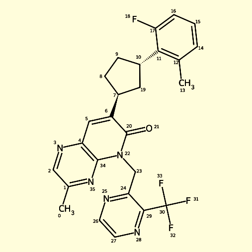 Cc1cnc2cc([C@H]3CC[C@H](c4c(C)cccc4F)C3)c(=O)n(Cc3nccnc3C(F)(F)F)c2n1